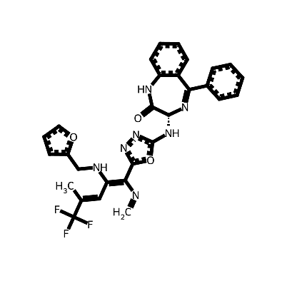 C=N/C(=C(\C=C(/C)C(F)(F)F)NCc1ccco1)c1nnc(N[C@H]2N=C(c3ccccc3)c3ccccc3NC2=O)o1